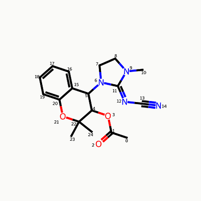 CC(=O)OC1C(N2CCN(C)C2=NC#N)c2ccccc2OC1(C)C